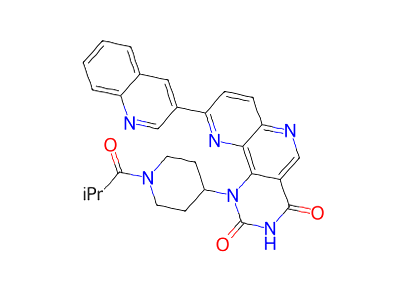 CC(C)C(=O)N1CCC(n2c(=O)[nH]c(=O)c3cnc4ccc(-c5cnc6ccccc6c5)nc4c32)CC1